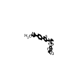 Cn1cc(-c2ccc(-c3ccc(C4=NC5(CC5)C(=O)N4C[C@@H]4CCN(C(=O)C5(O)CC5)C4)c(F)c3)cc2)cn1